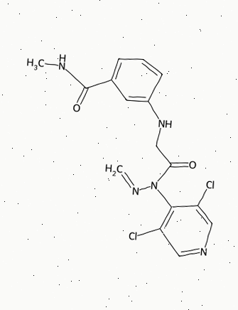 C=NN(C(=O)CNc1cccc(C(=O)NC)c1)c1c(Cl)cncc1Cl